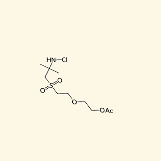 CC(=O)OCCOCCS(=O)(=O)CC(C)(C)NCl